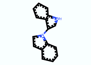 [c]1[nH]c2ccccc2c1-n1ccc2ccccc21